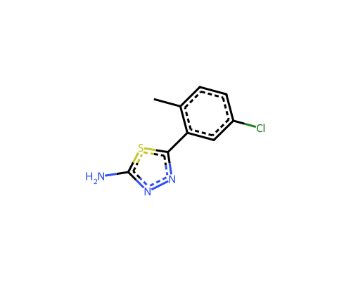 Cc1ccc(Cl)cc1-c1nnc(N)s1